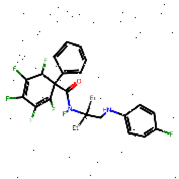 CCC(CC)(CNc1ccc(F)cc1)N(F)C(=O)C1(c2ccccc2)C(F)=C(F)C(F)=C(F)C1F